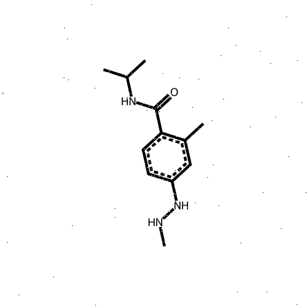 CNNc1ccc(C(=O)NC(C)C)c(C)c1